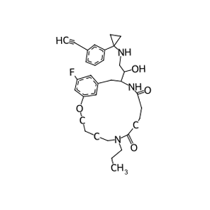 C#Cc1cccc(C2(NCC(O)C3Cc4cc(F)cc(c4)OCCCCN(CCC)C(=O)CCCC(=O)N3)CC2)c1